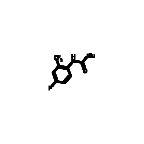 CC(C)(C)C(=O)Nc1ccc(F)cc1C(F)(F)F